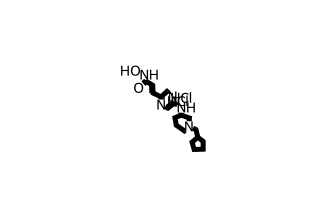 Cl.Cl.O=C(/C=C/c1cnc(NC2CCCN(CC3CCCC3)C2)cn1)NO